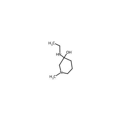 CCNC1(O)CCCN(C)C1